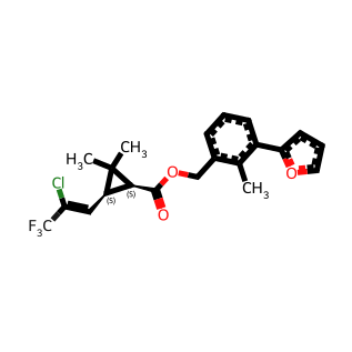 Cc1c(COC(=O)[C@H]2[C@@H](C=C(Cl)C(F)(F)F)C2(C)C)cccc1-c1ccco1